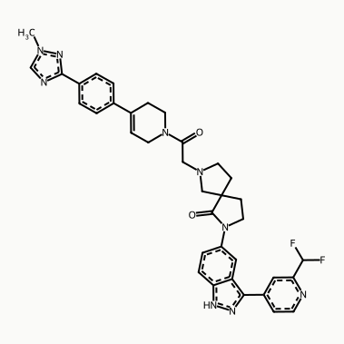 Cn1cnc(-c2ccc(C3=CCN(C(=O)CN4CCC5(CCN(c6ccc7[nH]nc(-c8ccnc(C(F)F)c8)c7c6)C5=O)C4)CC3)cc2)n1